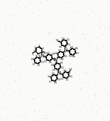 CC1=CC=CC(C)(N(c2ccccc2)c2ccc(N(c3ccc(N(c4ccccc4)c4cccc(C)c4)cc3)c3ccc(N(c4ccccc4)c4cccc(C)c4)cc3)cc2)C1